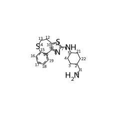 NCC1CCC(Nc2nc3c(s2)CCSc2ccccc2-3)CC1